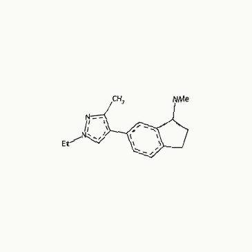 CCn1cc(-c2ccc3c(c2)C(NC)CC3)c(C)n1